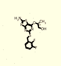 C[C@@H](CO)Oc1nc(SCc2cccc(F)c2F)nc2nc(N)sc12